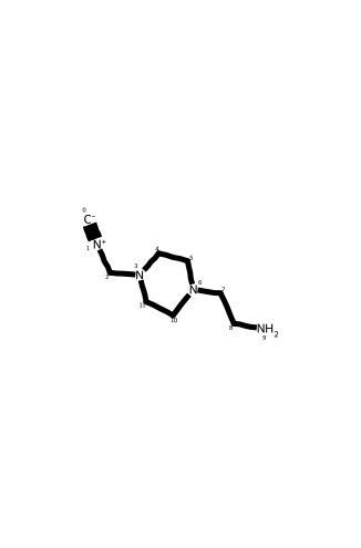 [C-]#[N+]CN1CCN(CCN)CC1